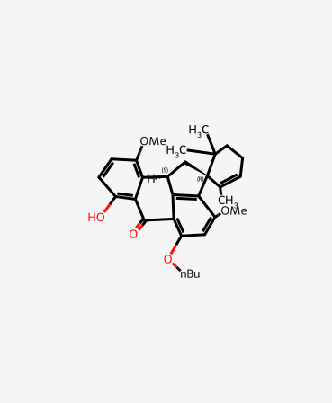 CCCCOc1cc(OC)c2c3c1C(=O)c1c(O)ccc(OC)c1[C@H]3C[C@@]21C(C)=CCCC1(C)C